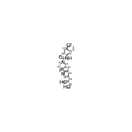 Cc1cc(NC(=O)N2CCC(F)(c3ncc(C[C@H](O)CO)cc3C)CC2)ccc1C(F)(F)F